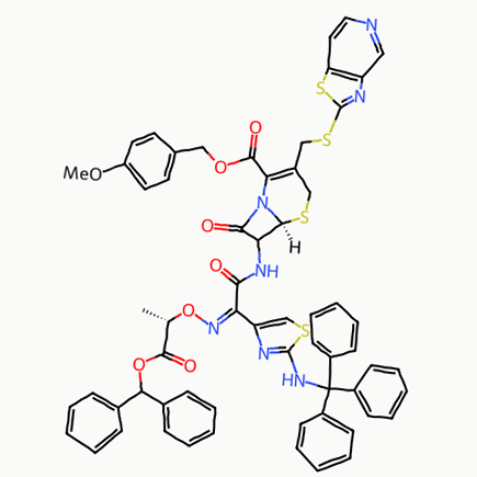 COc1ccc(COC(=O)C2=C(CSc3nc4cnccc4s3)CS[C@H]3C(NC(=O)/C(=N\O[C@@H](C)C(=O)OC(c4ccccc4)c4ccccc4)c4csc(NC(c5ccccc5)(c5ccccc5)c5ccccc5)n4)C(=O)N23)cc1